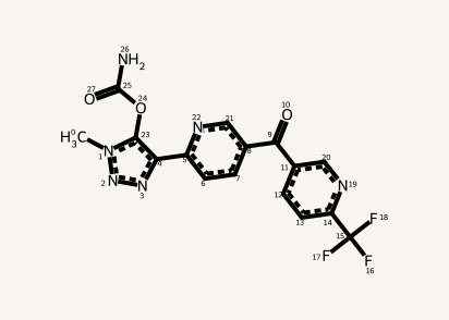 Cn1nnc(-c2ccc(C(=O)c3ccc(C(F)(F)F)nc3)cn2)c1OC(N)=O